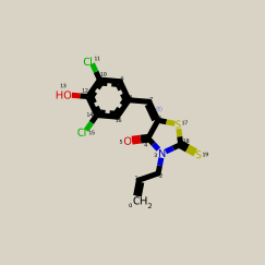 C=CCN1C(=O)/C(=C\c2cc(Cl)c(O)c(Cl)c2)SC1=S